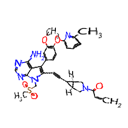 C=CC(=O)N1C[C@@H]2C(C#Cc3c(-c4ccc(Oc5cccc(C)n5)c(OC)c4)c4c(N)ncnc4n3CS(C)(=O)=O)[C@@H]2C1